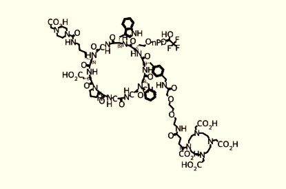 CCCOCC[C@@H]1NC(=O)[C@H](Cc2ccc(CNC(=O)COCCOCCNC(=O)CC[C@H](C(=O)O)N3CCN(CC(=O)O)CCN(CC(=O)O)CCN(CC(=O)O)CC3)cc2)NC(=O)[C@H](Cc2ccccc2)N(C)C(=O)CNC(=O)CNC(=O)[C@H]2CCCN2C(=O)[C@H](CC(=O)O)NC(=O)[C@H](CCCCNC(=O)N2CCN(CC(=O)O)CC2)NC(=O)CNC(=O)[C@H](Cc2c[nH]c3ccccc23)NC1=O.O=C(O)C(F)(F)F